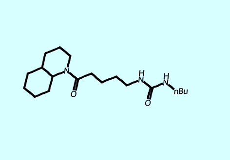 CCCCNC(=O)NCCCCC(=O)N1CCCC2CCCCC21